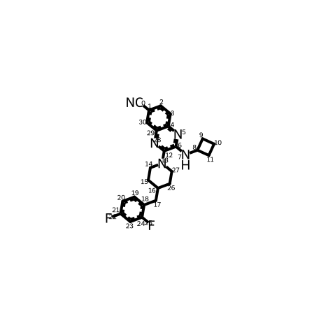 N#Cc1ccc2nc(NC3CCC3)c(N3CCC(Cc4ccc(F)cc4F)CC3)nc2c1